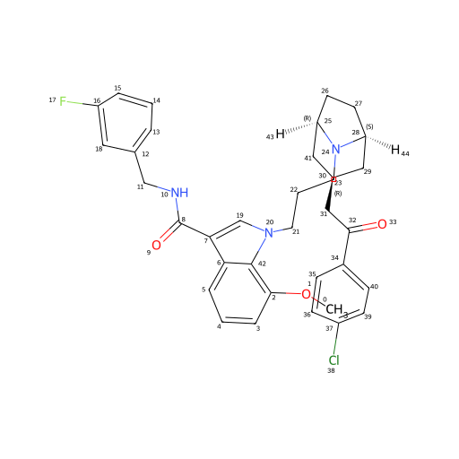 COc1cccc2c(C(=O)NCc3cccc(F)c3)cn(CCCN3[C@@H]4CC[C@H]3C[C@@H](CC(=O)c3ccc(Cl)cc3)C4)c12